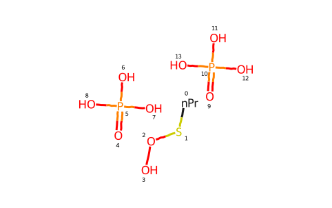 CCCSOO.O=P(O)(O)O.O=P(O)(O)O